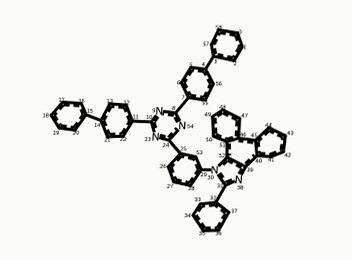 c1ccc(-c2ccc(-c3nc(-c4ccc(-c5ccccc5)cc4)nc(-c4cccc(-n5c(-c6ccccc6)nc6c7ccccc7c7ccccc7c65)c4)n3)cc2)cc1